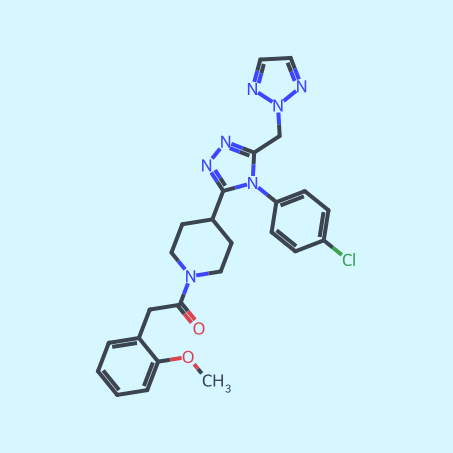 COc1ccccc1CC(=O)N1CCC(c2nnc(Cn3nccn3)n2-c2ccc(Cl)cc2)CC1